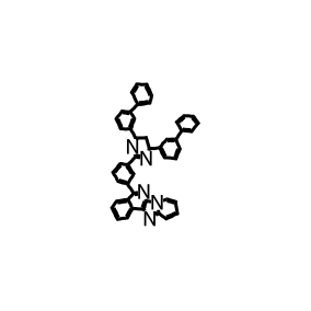 c1ccc(-c2cccc(C3=NC(c4cccc(-c5nc6c(nc7ccccn76)c6ccccc56)c4)=NC(c4cccc(-c5ccccc5)c4)C3)c2)cc1